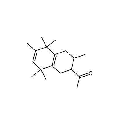 CC(=O)C1CC2=C(CC1C)C(C)(C)C(C)=CC2(C)C